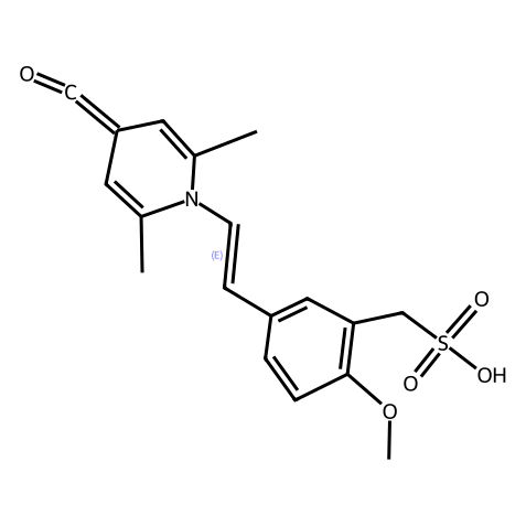 COc1ccc(/C=C/N2C(C)=CC(=C=O)C=C2C)cc1CS(=O)(=O)O